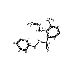 C=NNc1c(C)cccc1C(=O)OCc1ccccc1